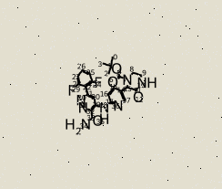 CC(C)(C)OC(=O)N1CCNC(=O)C1c1ccc(Nc2cc(-c3c(F)cccc3F)nnc2C(N)=O)nc1